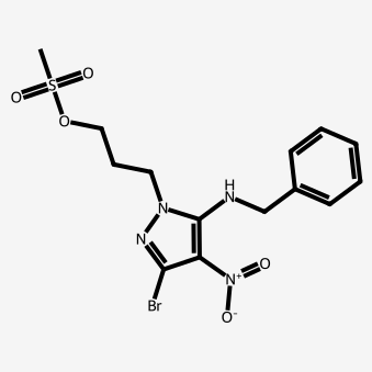 CS(=O)(=O)OCCCn1nc(Br)c([N+](=O)[O-])c1NCc1ccccc1